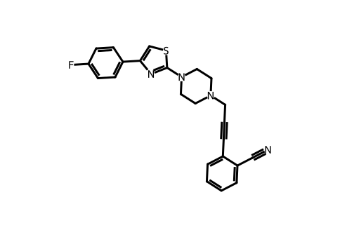 N#Cc1ccccc1C#CCN1CCN(c2nc(-c3ccc(F)cc3)cs2)CC1